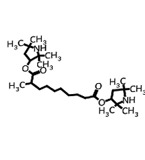 CC(CCCCCCCC(=O)OC1CC(C)(C)NC1(C)C)C(=O)OC1CC(C)(C)NC1(C)C